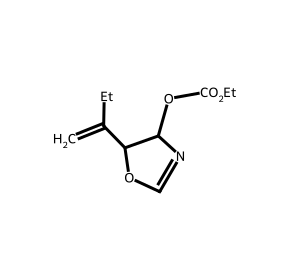 C=C(CC)C1OC=NC1OC(=O)OCC